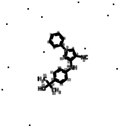 [C-]#[N+]c1cn(-c2ccccc2)nc1Nc1ccc(C(C)(C)O)cc1